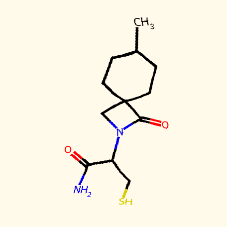 CC1CCC2(CC1)CN(C(CS)C(N)=O)C2=O